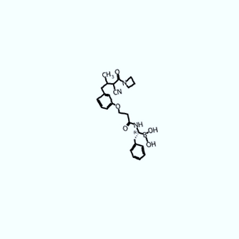 CC(Cc1cccc(OCCC(=O)N[C@@H](Cc2ccccc2)B(O)O)c1)C(C#N)C(=O)N1CCC1